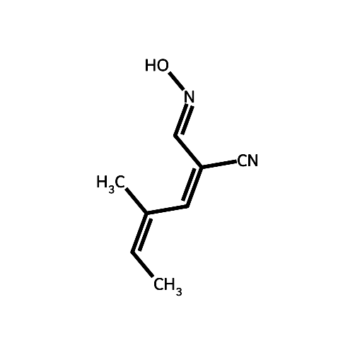 C\C=C(C)/C=C(C#N)\C=N\O